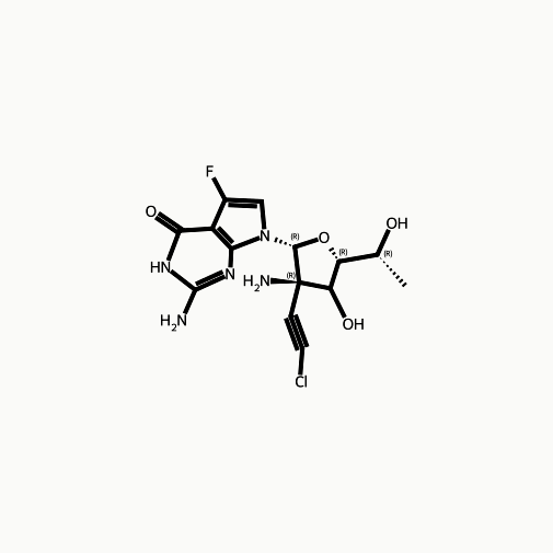 C[C@@H](O)[C@H]1O[C@@H](n2cc(F)c3c(=O)[nH]c(N)nc32)[C@@](N)(C#CCl)C1O